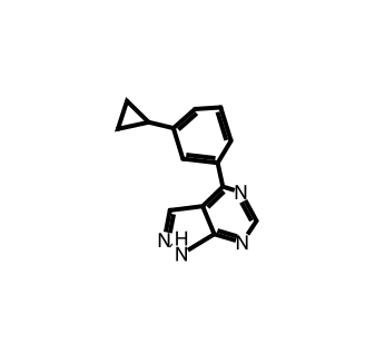 c1cc(-c2ncnc3[nH]ncc23)cc(C2CC2)c1